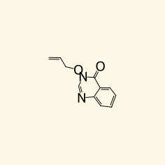 C=CCOn1cnc2ccccc2c1=O